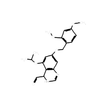 COc1ccc(COc2cc3c(c(OC(C)C)c2)C(C=O)NC=N3)c(OC)c1